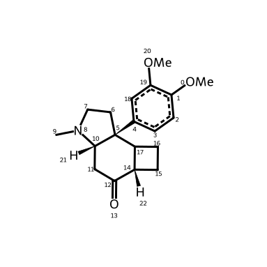 COc1ccc([C@]23CCN(C)[C@H]2CC(=O)[C@H]2CCC23)cc1OC